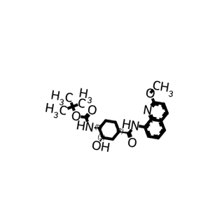 COc1ccc2cccc(NC(=O)[C@@H]3CC[C@@H](NC(=O)OC(C)(C)C)[C@@H](O)C3)c2n1